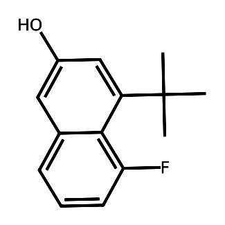 CC(C)(C)c1cc(O)cc2cccc(F)c12